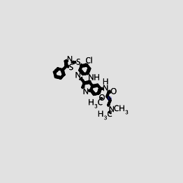 COc1cc2ncc(C#N)c(Nc3ccc(Sc4ncc(-c5ccccc5)s4)c(Cl)c3)c2cc1NC(=O)/C=C/CN(C)C